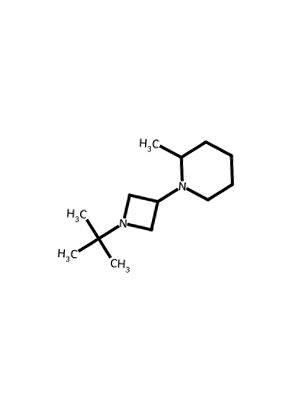 CC1CCCCN1C1CN(C(C)(C)C)C1